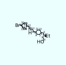 CCN(CCO)CC1CCC(CCNCc2ncc(Br)cn2)CC1